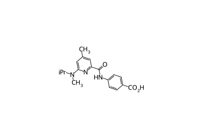 Cc1cc(C(=O)Nc2ccc(C(=O)O)cc2)nc(N(C)C(C)C)c1